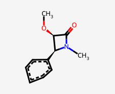 CO[C@H]1C(=O)N(C)[C@H]1c1ccccc1